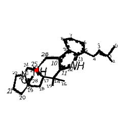 CC(C)=CCc1cccc2c3c([nH]c12)C(C)(C)C1C[C@]24CCCN2C[C@@]1(C3)NC4=O